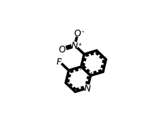 O=[N+]([O-])c1cccc2nccc(F)c12